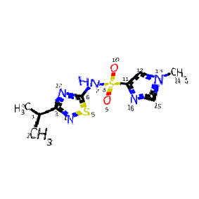 CC(C)c1nsc(NS(=O)(=O)c2cn(C)cn2)n1